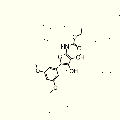 CCOC(=O)Nc1oc(-c2cc(OC)cc(OC)c2)c(O)c1O